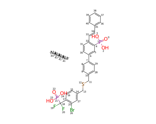 O=P(O)(O)c1cc(-c2ccc(CSCc3ccc(C(F)(F)P(=O)(O)O)c(Br)c3)cc2)ccc1C=Cc1ccccc1.[Na].[Na].[Na].[Na]